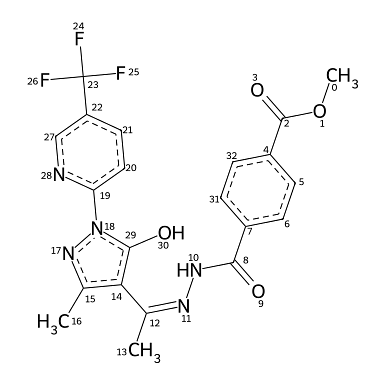 COC(=O)c1ccc(C(=O)N/N=C(/C)c2c(C)nn(-c3ccc(C(F)(F)F)cn3)c2O)cc1